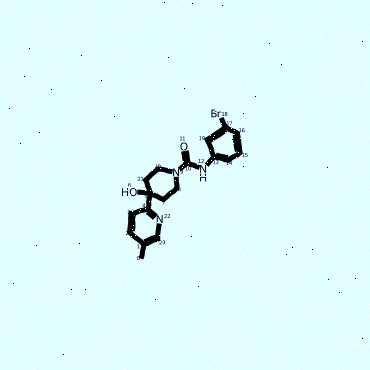 Cc1ccc(C2(O)CCN(C(=O)Nc3cccc(Br)c3)CC2)nc1